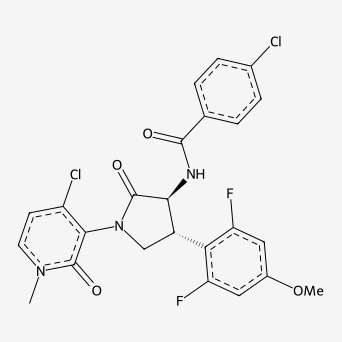 COc1cc(F)c([C@@H]2CN(c3c(Cl)ccn(C)c3=O)C(=O)[C@H]2NC(=O)c2ccc(Cl)cc2)c(F)c1